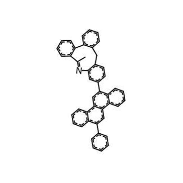 C/C1=N\c2cc(-c3cc4c5ccccc5c(-c5ccccc5)cc4c4ccccc34)ccc2Cc2ccccc2-c2ccccc21